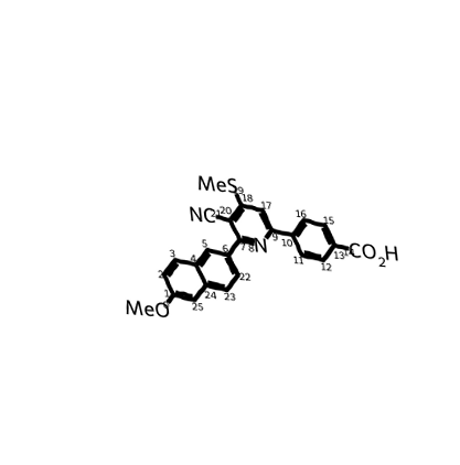 COc1ccc2cc(-c3nc(-c4ccc(C(=O)O)cc4)cc(SC)c3C#N)ccc2c1